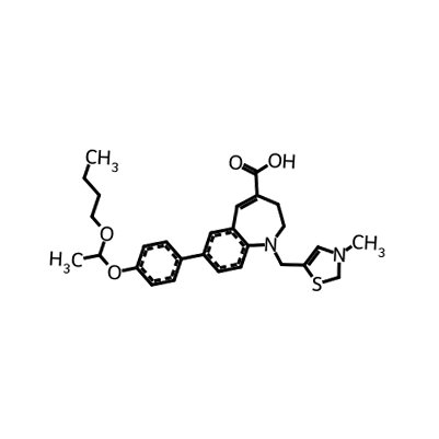 CCCCOC(C)Oc1ccc(-c2ccc3c(c2)C=C(C(=O)O)CCN3CC2=CN(C)CS2)cc1